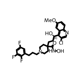 COc1ccc2ncc(Cl)c([C@H](O)CCC3(C(=O)NO)CCN(CCCc4cc(F)cc(F)c4F)CC3)c2c1